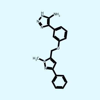 Cn1nc(-c2ccccc2)cc1COc1cccc(-c2nn[nH]c2N)c1